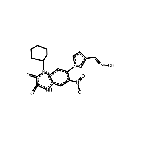 O=c1[nH]c2cc([N+](=O)[O-])c(-n3ccc(C=NO)c3)cc2n(C2CCCCC2)c1=O